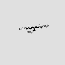 CCOC(=O)CNCCN(CCNCC(=O)OCC)CC(=O)OCC